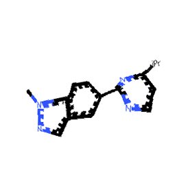 CC(C)c1ccnc(-c2ccc3c(cnn3C)c2)n1